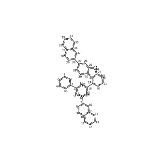 c1ccc(-c2nc(-c3ccc4ccccc4c3)nc(-c3ccnc4oc5cc(-c6ccc7ccccc7c6)ccc5c34)n2)cc1